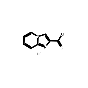 Cl.O=C(Cl)c1cn2ccccc2n1